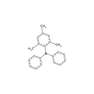 Cc1cc(C)[c]([Bi]([c]2ccccc2)[c]2ccccc2)c(C)c1